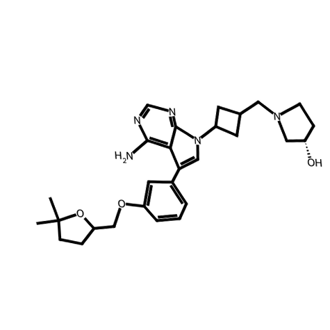 CC1(C)CCC(COc2cccc(-c3cn(C4CC(CN5CC[C@H](O)C5)C4)c4ncnc(N)c34)c2)O1